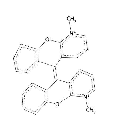 C[n+]1cccc2c1Oc1ccccc1/C2=C1\c2ccccc2Oc2c1ccc[n+]2C